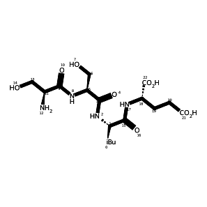 CC[C@H](C)[C@H](NC(=O)[C@H](CO)NC(=O)[C@@H](N)CO)C(=O)N[C@@H](CCC(=O)O)C(=O)O